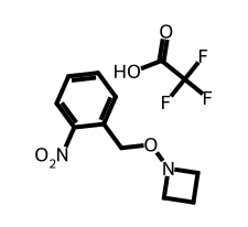 O=C(O)C(F)(F)F.O=[N+]([O-])c1ccccc1CON1CCC1